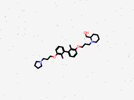 Cc1c(OCCCN2CCCC2)cccc1-c1cccc(OCCCN2CCCCC2CO)c1C